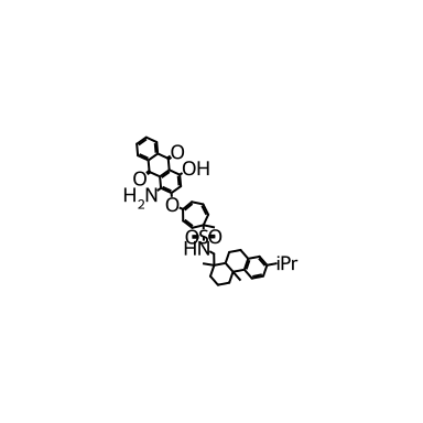 CC(C)c1ccc2c(c1)CCC1C(C)(CNS(=O)(=O)C3(C)C=CC=C(Oc4cc(O)c5c(c4N)C(=O)c4ccccc4C5=O)C=C3)CCCC21C